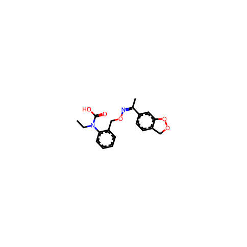 CCN(C(=O)O)c1ccccc1CO/N=C(/C)c1ccc2c(c1)OOC2